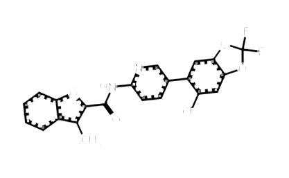 Cc1c(C(=O)Nc2ccc(-c3cc4c(cc3Cl)OC(F)(F)O4)cn2)oc2ccccc12